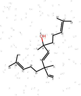 C=CC(C)(C=CC(C)(O)CCC=C(C)C)CCC=C(C)C